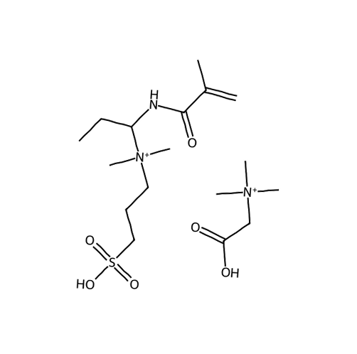 C=C(C)C(=O)NC(CC)[N+](C)(C)CCCS(=O)(=O)O.C[N+](C)(C)CC(=O)O